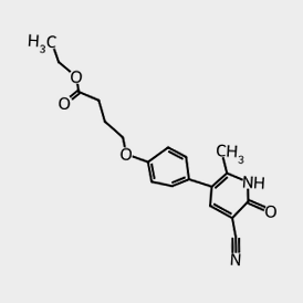 CCOC(=O)CCCOc1ccc(-c2cc(C#N)c(=O)[nH]c2C)cc1